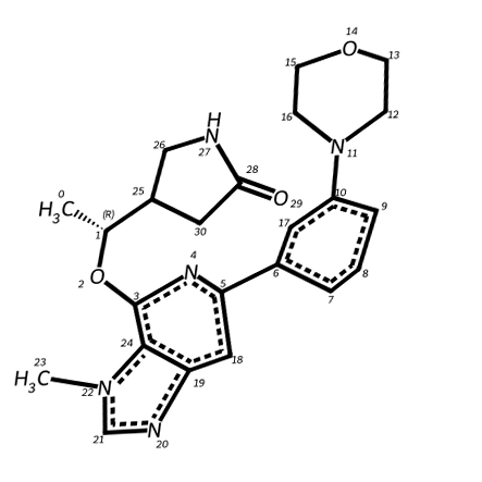 C[C@@H](Oc1nc(-c2cccc(N3CCOCC3)c2)cc2ncn(C)c12)C1CNC(=O)C1